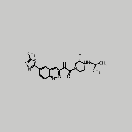 Cc1nnc(-c2ccc3nnc(NC(=O)N4CC[C@H](NC(C)C)[C@@H](F)C4)cc3c2)s1